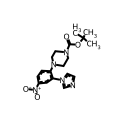 CC(C)(C)OC(=O)N1CCN(c2ccc([N+](=O)[O-])cc2-n2ccnc2)CC1